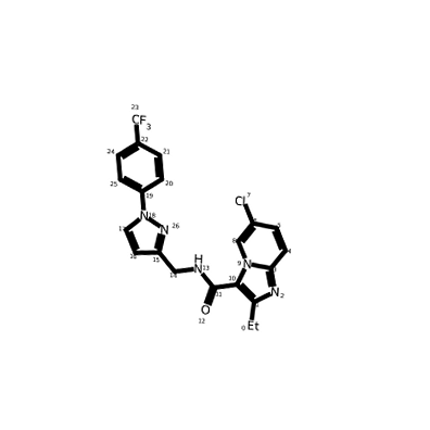 CCc1nc2ccc(Cl)cn2c1C(=O)NCc1ccn(-c2ccc(C(F)(F)F)cc2)n1